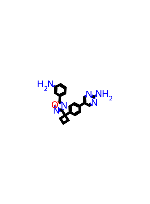 Nc1cccc(-c2nc(C3(c4ccc(-c5cnc(N)nc5)cc4)CCC3)no2)c1